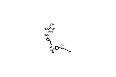 CCCCC[C@H](O)c1ccc(N2C(=O)CCC2CCCc2ccc(C(=O)OCC(O)C(O)C(O)CO)s2)cc1